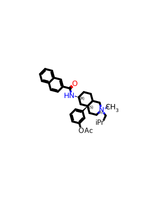 CC(=O)Oc1cccc([C@]23CC[N@@+](C)(CC(C)C)CC2CC[C@@H](NC(=O)c2ccc4ccccc4c2)C3)c1